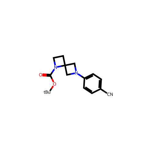 CC(C)(C)OC(=O)N1CCC12CN(c1ccc(C#N)cc1)C2